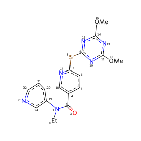 CCN(C(=O)c1ccc(Sc2nc(OC)nc(OC)n2)nc1)c1cccnc1